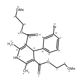 COCCOC(=O)C1=C(C)NC(C)=C(C(=O)OCCOC)C1c1cccc(Br)c1